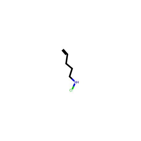 C=CCCCNCl